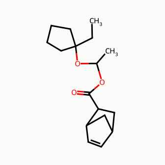 CCC1(OC(C)OC(=O)C2CC3C=CC2C3)CCCC1